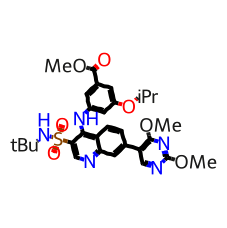 COC(=O)c1cc(Nc2c(S(=O)(=O)NC(C)(C)C)cnc3cc(-c4cnc(OC)nc4OC)ccc23)cc(OC(C)C)c1